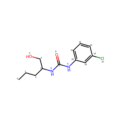 CCCC(CO)NC(=O)Nc1cccc(Cl)c1